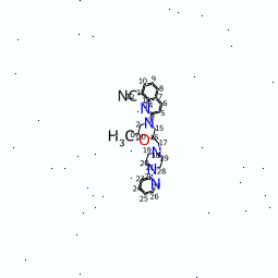 CC1CN(c2ccc3cccc(C#N)c3n2)CC(CN2CCN(c3ccccn3)CC2)O1